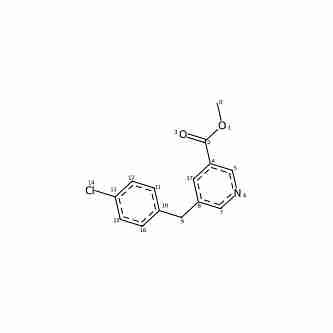 COC(=O)c1cncc(Cc2ccc(Cl)cc2)c1